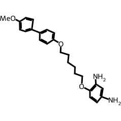 COc1ccc(-c2ccc(OCCCCCCOc3ccc(N)cc3N)cc2)cc1